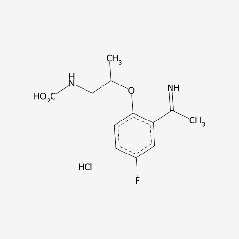 CC(=N)c1cc(F)ccc1OC(C)CNC(=O)O.Cl